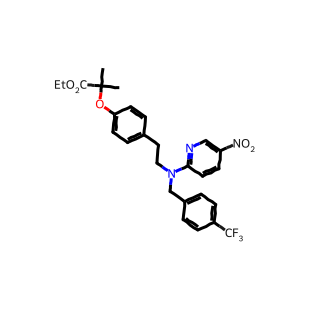 CCOC(=O)C(C)(C)Oc1ccc(CCN(Cc2ccc(C(F)(F)F)cc2)c2ccc([N+](=O)[O-])cn2)cc1